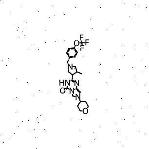 CC1CN(Cc2ccc(OC(F)(F)F)cc2)CC1C1=NC2=CN(C3CCOCC3)CN2C(=O)N1